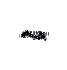 CCc1c2c(nc3ccc(OC(=O)N4CCC(C)=C(/C=C(\C)n5c(O)nnc5-c5cc(C(C)C)c(O)cc5O)C4)cc13)-c1cc3c(c(=O)n1C2)COC(=O)C3(O)CC